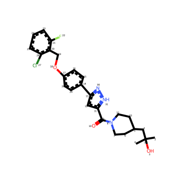 CC(C)(O)CC1CCN(C(=O)c2cc(-c3ccc(OCc4c(F)cccc4Cl)cc3)n[nH]2)CC1